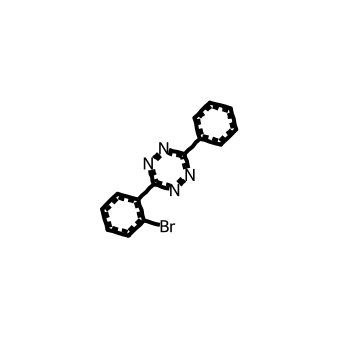 Brc1ccccc1-c1nnc(-c2ccccc2)nn1